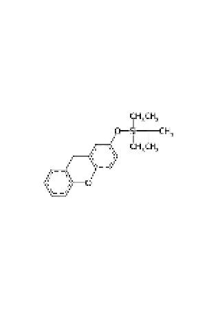 CC(C)(C)[Si](C)(C)Oc1ccc2c(c1)Cc1ccccc1O2